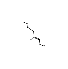 CC=CCC(F)=CCF